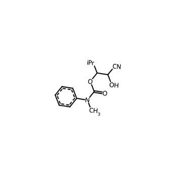 CC(C)C(OC(=O)N(C)c1ccccc1)C(O)C#N